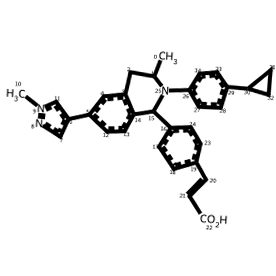 CC1Cc2cc(-c3cnn(C)c3)ccc2C(c2ccc(/C=C/C(=O)O)cc2)N1c1ccc(C2CC2)cc1